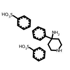 NC1(c2ccccc2)CCNCC1.O=S(=O)(O)c1ccccc1.O=S(=O)(O)c1ccccc1